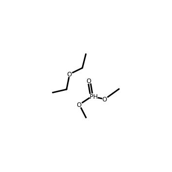 CCOCC.CO[PH](=O)OC